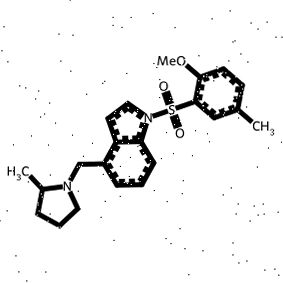 COc1ccc(C)cc1S(=O)(=O)n1ccc2c(CN3CCCC3C)cccc21